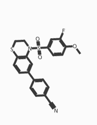 COc1ccc(S(=O)(=O)N2CCSc3ccc(-c4ccc(C#N)cc4)cc32)cc1F